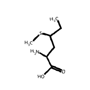 CCC(CC(N)C(=O)O)SC